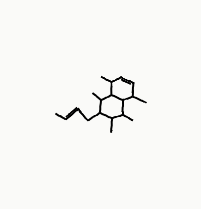 CC=CCC1C(C)C(C)C2C(C)C=CC(C)C2C1C